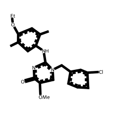 CCOc1cc(C)c(Nc2nc(=O)c(OC)cn2Cc2cccc(Cl)c2)cc1C